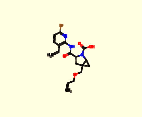 C=CCOCC12CC(C(=O)Nc3nc(Br)ccc3C=C)N(C(=O)O)C1C2